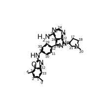 Cc1cc(C)c2oc(Nc3ccc(-c4nn([C@@H]5CCN(C)C5)c5ncnc(N)c45)cc3)nc2c1